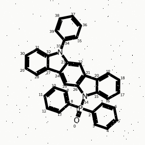 O=P(c1ccccc1)(c1ccccc1)n1c2ccccc2c2cc3c(cc21)c1ccccc1n3-c1ccccc1